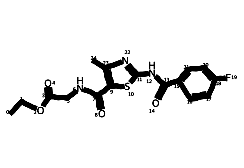 CCOC(=O)CNC(=O)c1sc(NC(=O)c2ccc(F)cc2)nc1C